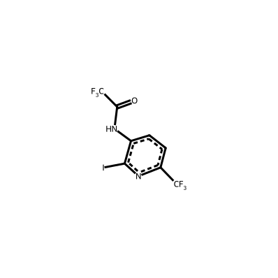 O=C(Nc1ccc(C(F)(F)F)nc1I)C(F)(F)F